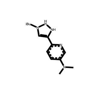 CCC(C)N1C=C(c2ccc(N(C)C)cn2)NN1